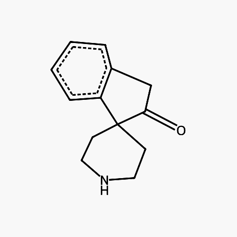 O=C1Cc2ccccc2C12CCNCC2